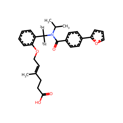 [2H]C([2H])(c1ccccc1OC/C=C(\C)CCC(=O)O)N(C(=O)c1ccc(-c2ccco2)cc1)C(C)C